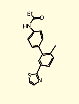 CCC(=O)Nc1ccc(-c2cc(-c3nccs3)ccc2C)cc1